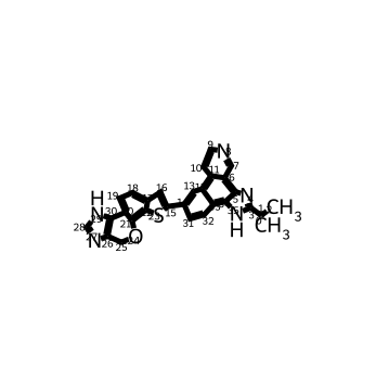 CC(C)c1nc2c3cnccc3c3cc(-c4cc5ccc6c(c5s4)OCc4nc[nH]c4-6)ccc3c2[nH]1